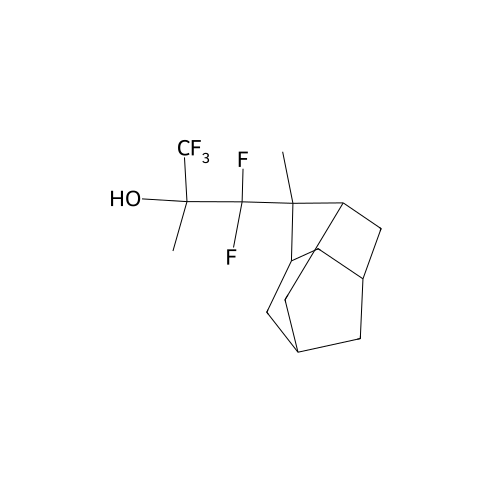 CC1(C(F)(F)C(C)(O)C(F)(F)F)C2CC3CC(C2)CC1C3